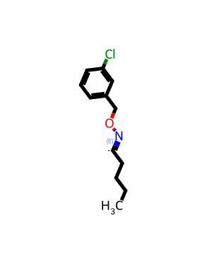 CCCC/[C]=N/OCc1cccc(Cl)c1